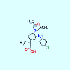 CC(CC(=O)O)c1ccc(N2C[C@@H](C)O[C@@H](C)C2)c(Nc2ccc(Cl)cc2)c1